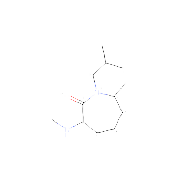 CNC1CCCC(C)N(CC(C)C)C1=O